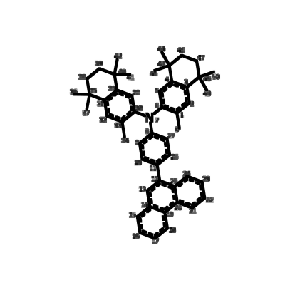 Cc1cc2c(cc1N(c1ccc(-c3cc4ccccc4c4ccccc34)cc1)c1cc3c(cc1C)C(C)(C)CCC3(C)C)C(C)(C)CCC2(C)C